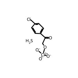 O=C(CO[Cl+3]([O-])([O-])[O-])c1ccc(Cl)cc1.S